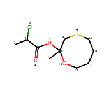 CC(Cl)C(=O)OC1(C)CSCCCCO1